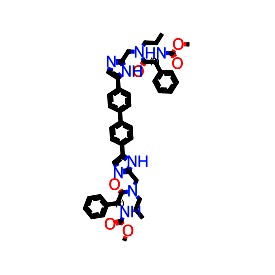 CCCN(Cc1ncc(-c2ccc(-c3ccc(-c4cnc(CN(CCC)C(=O)[C@H](NC(=O)OC)c5ccccc5)[nH]4)cc3)cc2)[nH]1)C(=O)[C@H](NC(=O)OC)c1ccccc1